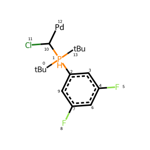 CC(C)(C)[PH](c1cc(F)cc(F)c1)([CH](Cl)[Pd])C(C)(C)C